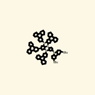 CC(C)(C)c1ccc2c(c1)c1cc(C(C)(C)C)ccc1n2-c1ccc2c(c1)N(c1ccc3c4ccccc4c4ccccc4c3c1)c1cc(-c3ccc4c5ccccc5c5ccccc5c4c3)cc3c1B2c1cc2c4ccccc4c4ccccc4c2cc1N3c1ccc2c3ccccc3c3ccccc3c2c1